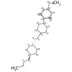 CCCC[C@H]1CC[C@H](CCC2CCC(c3ncc(CC)cn3)CC2)CC1